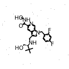 CC(C)(C)[C@@H](CO)NCc1cn(Cc2ccc(F)cc2F)c2cnc(C(=O)NO)cc12